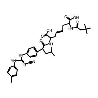 Cc1ccc(NC(=NC#N)Nc2ccc(C(CC(C)C)C(=O)NC(CC=CCC(NC(=O)CC(C)(C)C)C(=O)O)C(=O)O)cc2)cc1